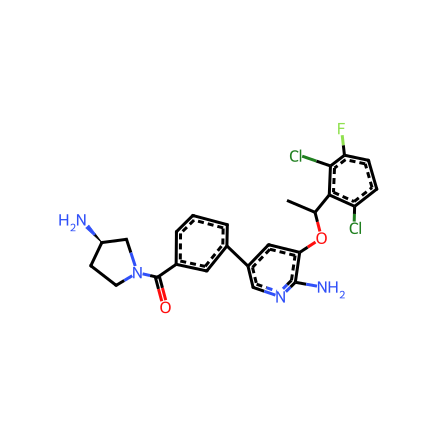 CC(Oc1cc(-c2cccc(C(=O)N3CC[C@@H](N)C3)c2)cnc1N)c1c(Cl)ccc(F)c1Cl